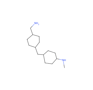 CNC1CCC(CC2CCC(CN)CC2)CC1